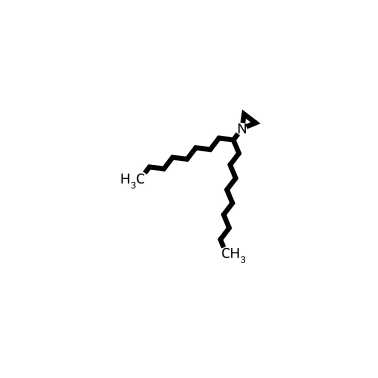 CCCCCCCCCC(CCCCCCCC)N1CC1